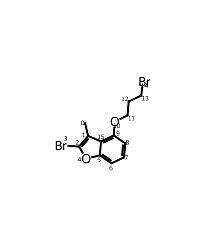 Cc1c(Br)oc2cccc(OCCCBr)c12